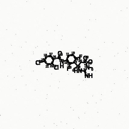 CN1C(=N)N[C@](C)(c2c(F)ccc(NC(=O)c3ccc(Cl)cc3Cl)c2F)CS1(=O)=O